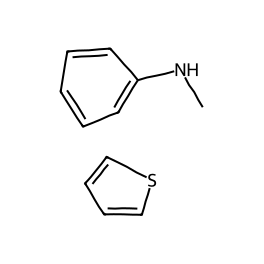 CNc1ccccc1.c1ccsc1